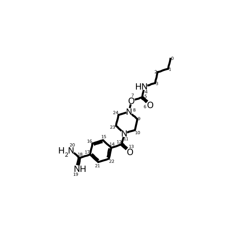 CCCCNC(=O)ON1CCN(C(=O)c2ccc(C(=N)N)cc2)CC1